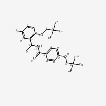 Cc1ccc(OCC(F)(F)F)c(C(C)NC(=O)c2ccc(OCC(F)(F)F)cc2)n1